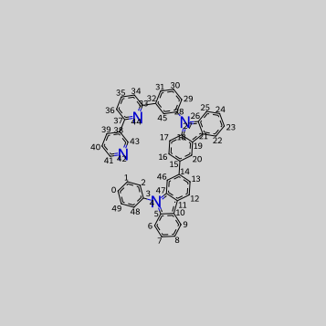 c1ccc(-n2c3ccccc3c3ccc(-c4ccc5c(c4)c4ccccc4n5-c4cccc(-c5cccc(-c6cccnc6)n5)c4)cc32)cc1